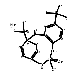 CC1c2cc(C(C)(C)C)ccc2OP(=O)([O-])OC2=CCC1(C(C)(C)C)C=C2.[Na+]